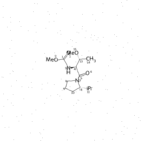 COC(=O)N[C@H](C(=O)N1CCC[C@H]1C(C)C)[C@@H](C)OC